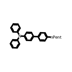 CCCCCc1ccc(-c2ccc(N(c3ccccc3)c3ccccc3)cc2)cc1